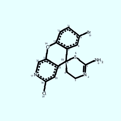 NC1=NCC[C@]2(S1)c1cc(Br)ccc1Oc1cnc(Cl)cc12